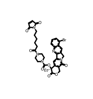 CC[C@@]1(OC(=O)N2CCN(C(=O)CCCCCN3C(=O)C=CC3=O)CC2)C(=O)OCc2c1cc1n(c2=O)Cc2cc3c(Br)cccc3nc2-1